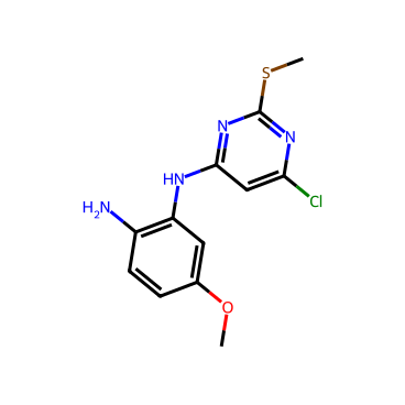 COc1ccc(N)c(Nc2cc(Cl)nc(SC)n2)c1